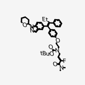 CC/C(=C(/c1ccc(OCCN(C/C=C(\F)C(=O)N(C)C)C(=O)OC(C)(C)C)cc1)c1ccc2c(cnn2C2CCCCO2)c1)c1ccccc1